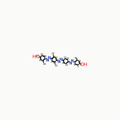 Cc1cc(O)ccc1N=Nc1ccc(/N=N/c2cc(C)c(N=Nc3ccc(O)cc3C)cc2C)cc1